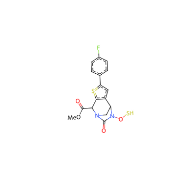 COC(=O)C1c2sc(-c3ccc(F)cc3)cc2C2CN1C(=O)N2OS